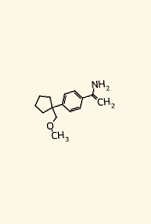 C=C(N)c1ccc(C2(COC)CCCC2)cc1